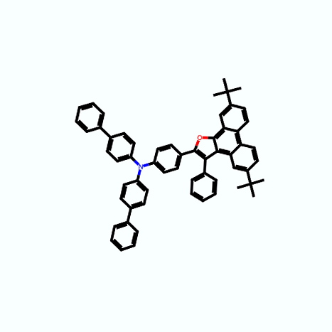 CC(C)(C)c1ccc2c3ccc(C(C)(C)C)cc3c3c(-c4ccccc4)c(-c4ccc(N(c5ccc(-c6ccccc6)cc5)c5ccc(-c6ccccc6)cc5)cc4)oc3c2c1